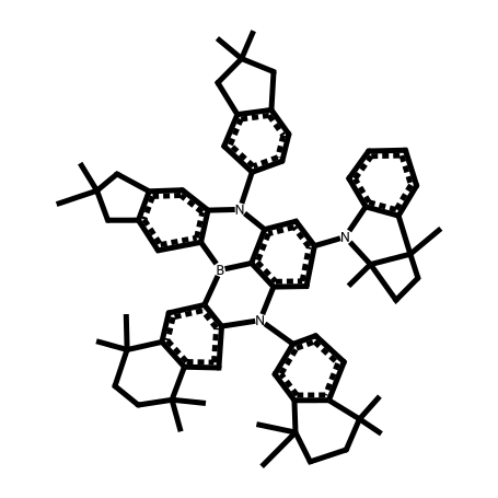 CC1(C)Cc2ccc(N3c4cc5c(cc4B4c6cc7c(cc6N(c6ccc8c(c6)C(C)(C)CCC8(C)C)c6cc(N8c9ccccc9C9(C)CCC89C)cc3c64)C(C)(C)CCC7(C)C)CC(C)(C)C5)cc2C1